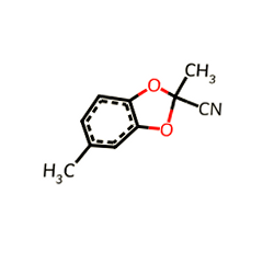 Cc1ccc2c(c1)OC(C)(C#N)O2